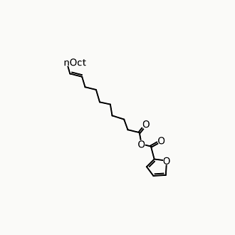 CCCCCCCCC=CCCCCCCCC(=O)OC(=O)c1ccco1